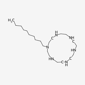 CCCCCCCCCCN1CCNCCNCCNCCNCCNCC1